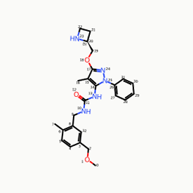 COCc1ccc(C)c(CNC(=O)Nc2c(C)c(OC[C@@H]3CCN3)nn2-c2ccccc2)c1